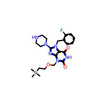 C[Si](C)(C)CCOCn1c(=O)[nH]c(=O)c2c1nc(N1CCNCC1)n2Cc1ccccc1F